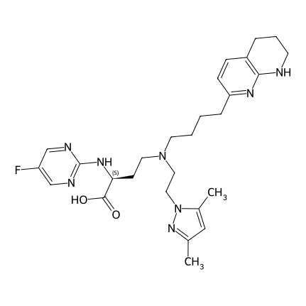 Cc1cc(C)n(CCN(CCCCc2ccc3c(n2)NCCC3)CC[C@H](Nc2ncc(F)cn2)C(=O)O)n1